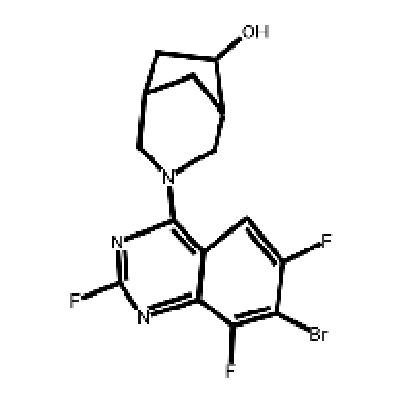 OC1CC2CC1CN(c1nc(F)nc3c(F)c(Br)c(F)cc13)C2